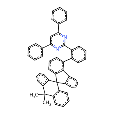 CC1(C)c2ccccc2C2(c3ccccc3-c3c(-c4ccccc4-c4nc(-c5ccccc5)cc(-c5ccccc5)n4)cccc32)c2ccccc21